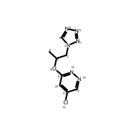 CC(Cn1cnnn1)Oc1cc(Cl)cnn1